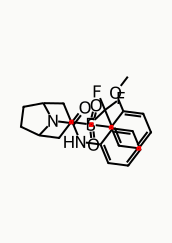 COc1ccccc1S(=O)(=O)C1CC2CCC(C1)N2C(=O)Nc1ccccc1C(F)(F)F